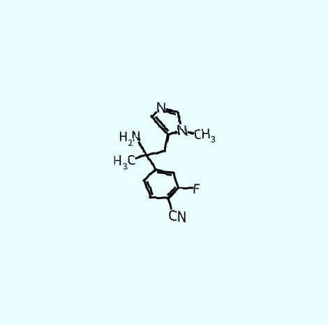 Cn1cncc1CC(C)(N)c1ccc(C#N)c(F)c1